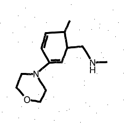 CNCC1C=C(N2CCOCC2)C=CC1C